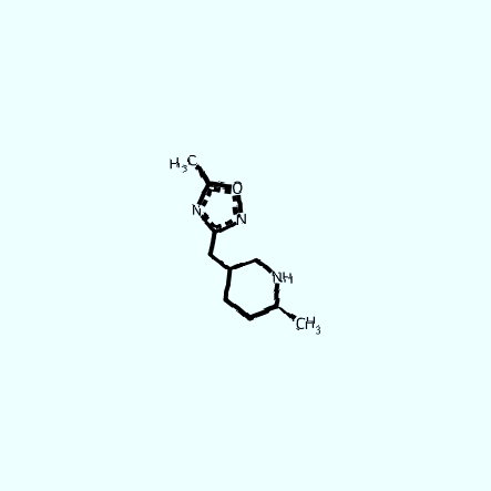 Cc1nc(CC2CC[C@H](C)NC2)no1